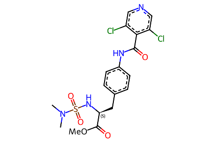 COC(=O)[C@H](Cc1ccc(NC(=O)c2c(Cl)cncc2Cl)cc1)NS(=O)(=O)N(C)C